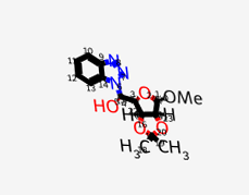 CO[C@@H]1O[C@H]([C@H](O)n2nnc3ccccc32)[C@H]2OC(C)(C)O[C@@H]12